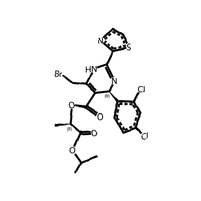 CC(C)OC(=O)[C@@H](C)OC(=O)C1=C(CBr)NC(c2nccs2)=N[C@H]1c1ccc(Cl)cc1Cl